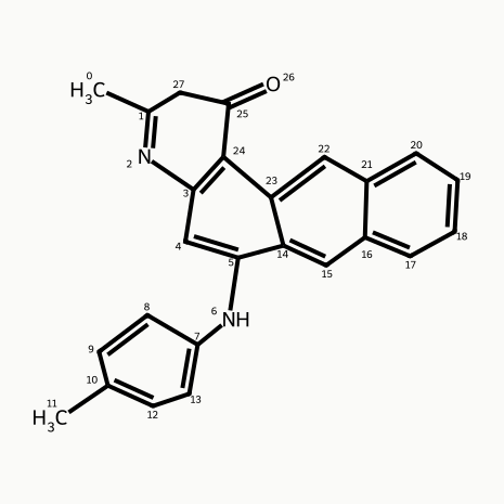 CC1=Nc2cc(Nc3ccc(C)cc3)c3cc4ccccc4cc3c2C(=O)C1